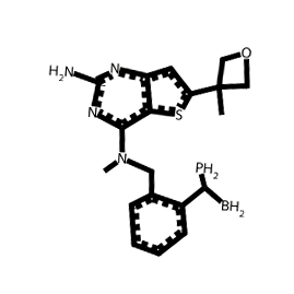 BC(P)c1ccccc1CN(C)c1nc(N)nc2cc(C3(C)COC3)sc12